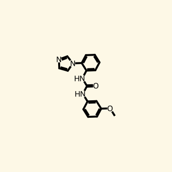 COc1cccc(NC(=O)Nc2ccccc2-n2ccnc2)c1